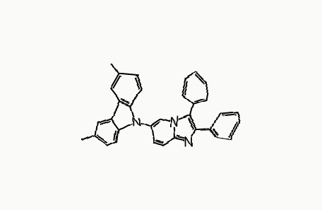 Cc1ccc2c(c1)c1cc(C)ccc1n2-c1ccc2nc(-c3ccccc3)c(-c3ccccc3)n2c1